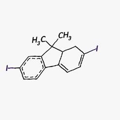 CC1(C)c2cc(I)ccc2C2=CC=C(I)CC21